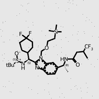 CC(CC(=O)N[C@H](C)c1ccc2nc([C@@H](N[S@+]([O-])C(C)(C)C)C3CCC(F)(F)CC3)n(COCC[Si](C)(C)C)c2c1)C(F)(F)F